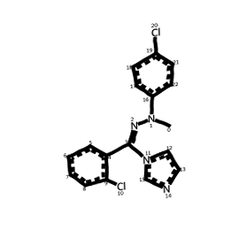 CN(N=C(c1ccccc1Cl)n1ccnc1)c1ccc(Cl)cc1